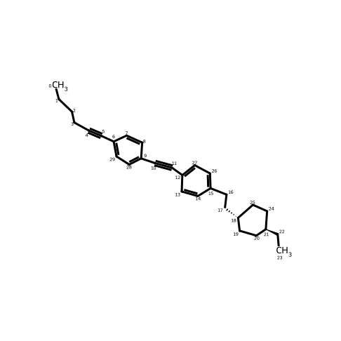 CCCCC#Cc1ccc(C#Cc2ccc(CC[C@H]3CC[C@H](CC)CC3)cc2)cc1